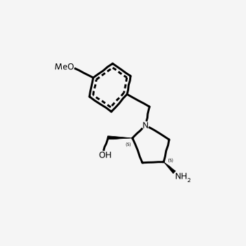 COc1ccc(CN2C[C@@H](N)C[C@H]2CO)cc1